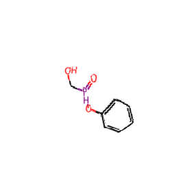 O=[PH](CO)Oc1ccccc1